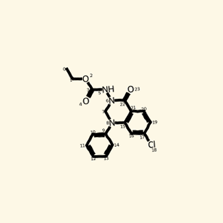 CCOC(=O)NN1CN(c2ccccc2)c2cc(Cl)ccc2C1=O